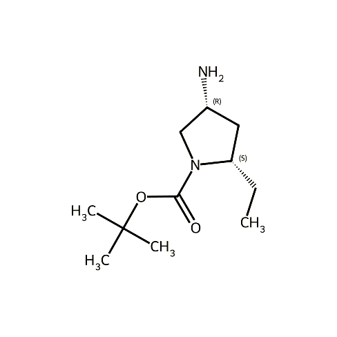 CC[C@H]1C[C@@H](N)CN1C(=O)OC(C)(C)C